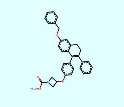 CC(C)(C)OC(=O)N1CC(Oc2ccc(C3=C(c4ccccc4)CCc4cc(OCc5ccccc5)ccc43)cc2)C1